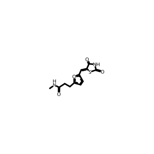 CNC(=O)CCc1ccc(/C=C2\SC(=O)NC2=O)o1